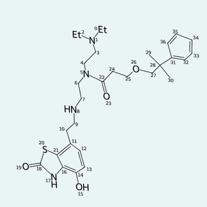 CCN(CC)CCN(CCNCCc1ccc(O)c2[nH]c(=O)sc12)C(=O)CCOCC(C)(C)c1ccccc1